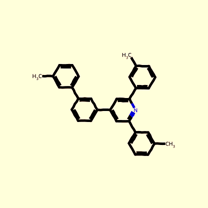 Cc1cccc(-c2cccc(-c3cc(-c4cccc(C)c4)nc(-c4cccc(C)c4)c3)c2)c1